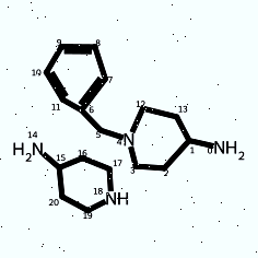 NC1CCN(Cc2ccccc2)CC1.NC1CCNCC1